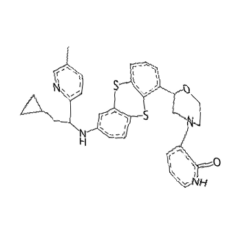 Cc1ccc(C(CC2CC2)Nc2ccc3c(c2)Sc2cccc(C4CN(c5ccc[nH]c5=O)CCO4)c2S3)nc1